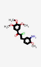 COc1ccc(C=C(Cl)C(=O)c2cc(OC)c(OC)c(OC)c2)cc1N